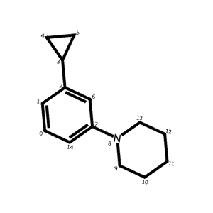 c1cc(C2CC2)cc(N2CCCCC2)c1